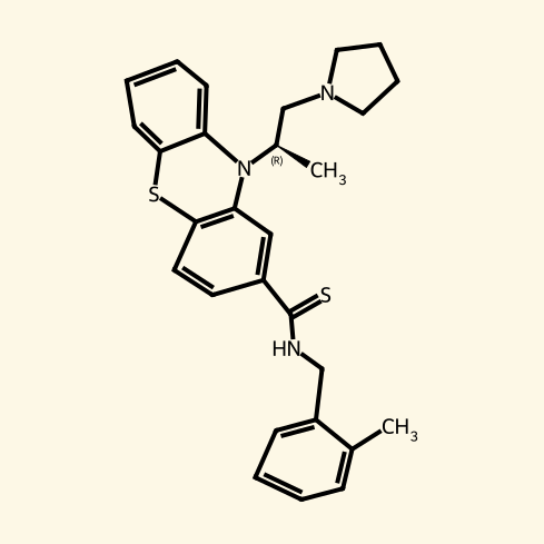 Cc1ccccc1CNC(=S)c1ccc2c(c1)N([C@H](C)CN1CCCC1)c1ccccc1S2